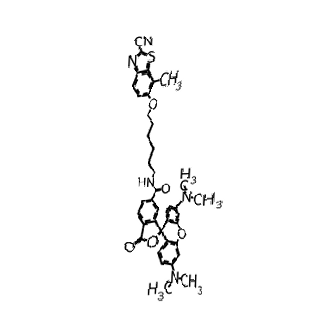 Cc1c(OCCCCCCNC(=O)c2ccc3c(c2)C2(OC3=O)c3ccc(N(C)C)cc3Oc3cc(N(C)C)ccc32)ccc2nc(C#N)sc12